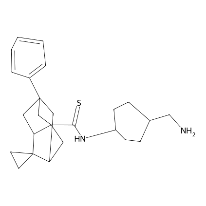 NCC1CCC(NC(=S)C23CC4CC(c5ccccc5)(CC2C42CC2)C3)CC1